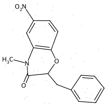 CN1C(=O)C(Cc2ccccc2)Oc2ccc([N+](=O)[O-])cc21